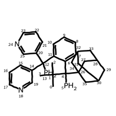 CC(C)(C)C(P)(c1ccccc1C(P)(c1cccnc1)c1cccnc1)C12CC3CC(CC(C3)C1)C2